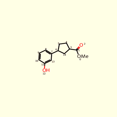 COC(=O)C1CCC(c2cccc(O)c2)C1